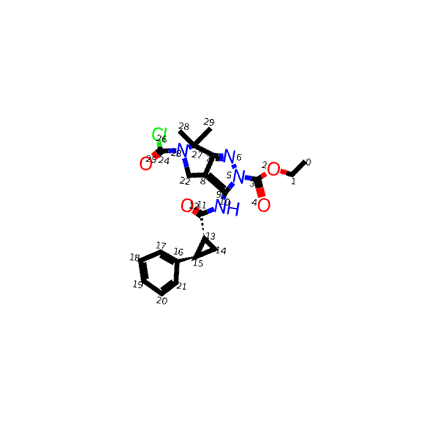 CCOC(=O)n1nc2c(c1NC(=O)[C@@H]1C[C@H]1c1ccccc1)CN(C(=O)Cl)C2(C)C